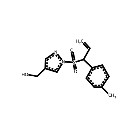 C=CC(c1ccc(C)cc1)S(=O)(=O)n1cc(CO)cn1